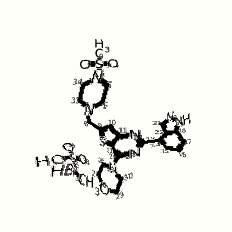 CS(=O)(=O)N1CCN(Cc2cc3nc(-c4cccc5[nH]ncc45)nc(N4CCOCC4)c3s2)CC1.[CH3][BiH][S](=O)(=O)O